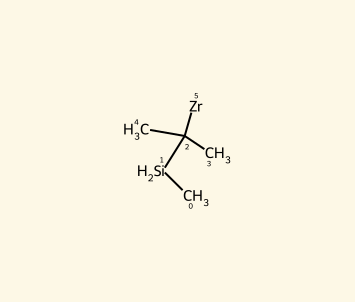 C[SiH2][C](C)(C)[Zr]